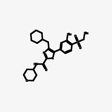 CC(C)(C)CS(=O)(=O)c1ccc(-c2sc(C(=O)NC3CCOCC3)nc2CC2CCCCC2)cc1C(C)(C)C